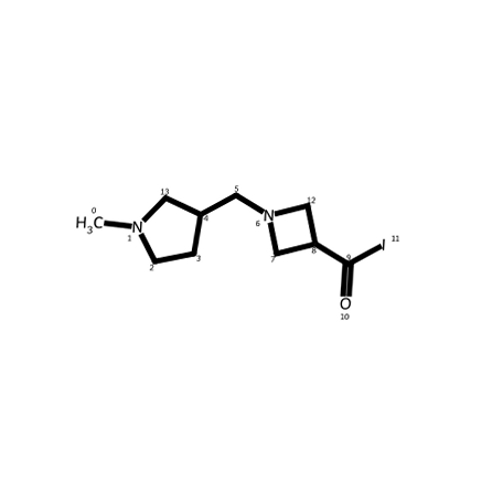 CN1CCC(CN2CC(C(=O)I)C2)C1